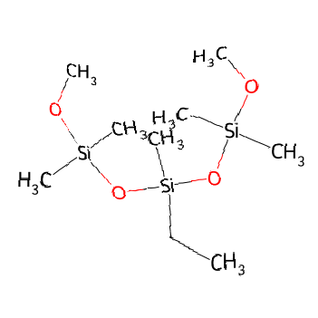 CC[Si](C)(O[Si](C)(C)OC)O[Si](C)(C)OC